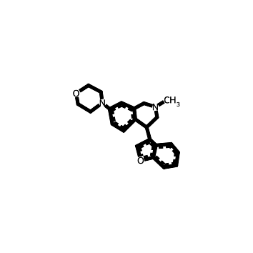 CN1Cc2cc(N3CCOCC3)ccc2C(c2coc3ccccc23)C1